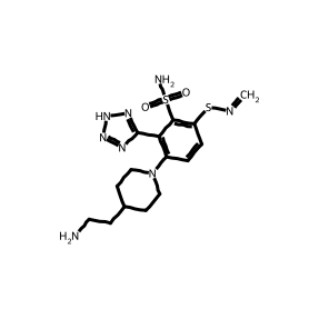 C=NSc1ccc(N2CCC(CCN)CC2)c(-c2nn[nH]n2)c1S(N)(=O)=O